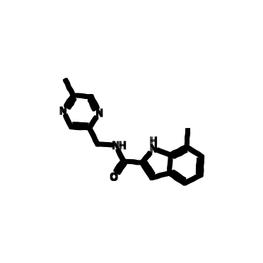 Cc1cnc(CNC(=O)c2cc3cccc(C)c3[nH]2)cn1